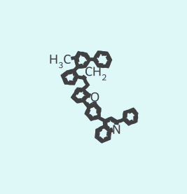 C=C(Cc1cccc2c1oc1cc(-c3cc(-c4ccccc4)nc4ccccc34)ccc12)c1ccccc1-c1cc(-c2ccccc2)ccc1C